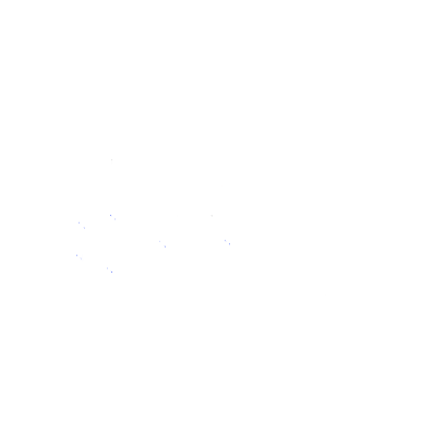 CCOC(=O)c1cc(C(=O)NCc2ccc(F)c(C)c2)nc2nnnn12